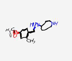 COc1ccc(CNC2CCNCC2)c(C)c1